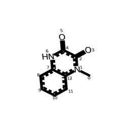 Cn1c(=O)c(=O)[nH]c2ccccc21